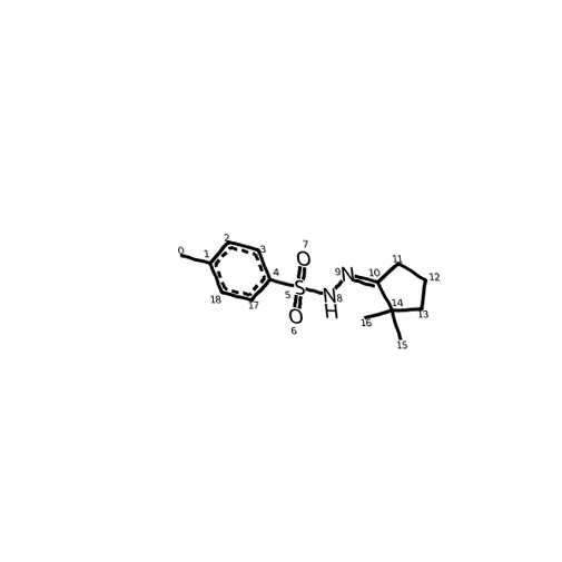 Cc1ccc(S(=O)(=O)NN=C2CCCC2(C)C)cc1